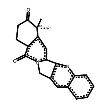 CC[C@@]1(C)C(=O)CCc2c1cc1n(c2=O)Cc2cc3ccccc3nc2-1